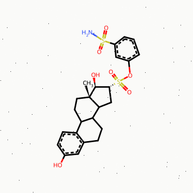 C[C@]12CCC3c4ccc(O)cc4CCC3C1C[C@@H](S(=O)(=O)Oc1cccc(S(N)(=O)=O)c1)[C@@H]2O